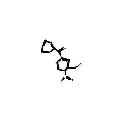 O=C(c1ccccc1)c1ccc([N+](=O)[O-])c(CCl)c1